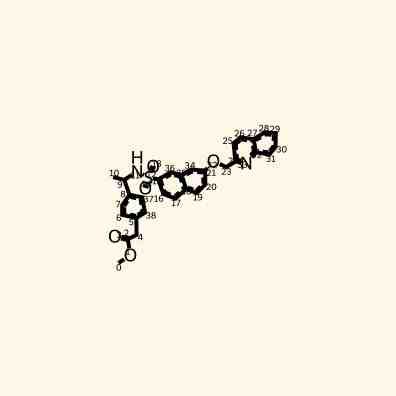 COC(=O)Cc1ccc(C(C)NS(=O)(=O)c2ccc3ccc(OCc4ccc5ccccc5n4)cc3c2)cc1